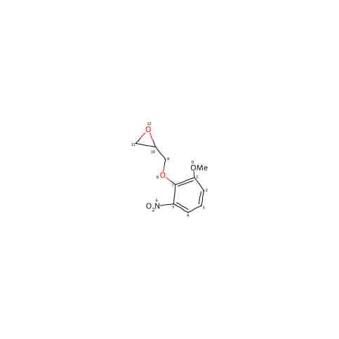 COc1cccc([N+](=O)[O-])c1OCC1CO1